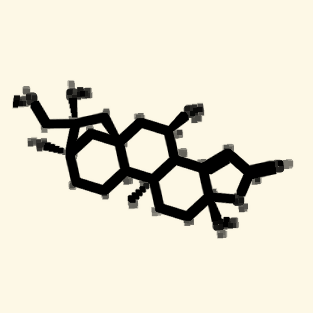 CC(=O)OC[C@@]1(OC(C)=O)C[C@]23C[C@H]1CCC2[C@]1(C)CC[C@@]2(OC(C)=O)OC(=O)C=C2C1[C@H](O)C3